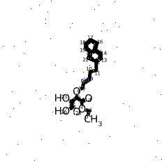 CCOC(=O)[C@H](OC/C=C/CCc1ccc2ccccc2c1)[C@@H](O)C(=O)O